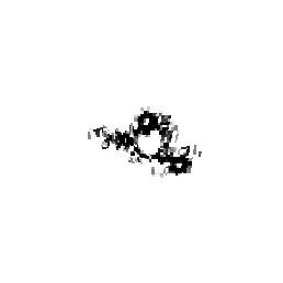 Cc1cccc(C)c1-c1cc2nc(n1)NS(=O)(=O)c1cccc(c1)C(=O)N(C1CC3(C1)CN(C(=O)OC(C)C)C3)[C@H](CC(C)C)CO2